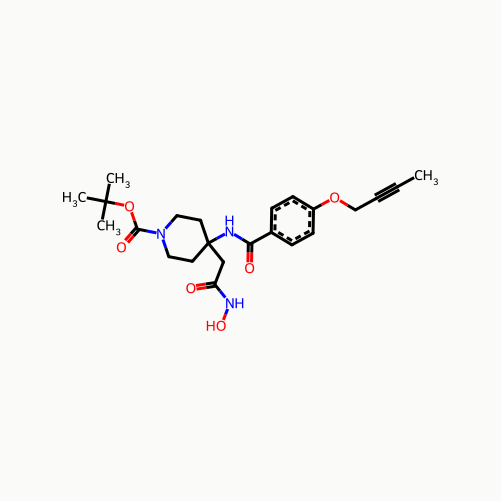 CC#CCOc1ccc(C(=O)NC2(CC(=O)NO)CCN(C(=O)OC(C)(C)C)CC2)cc1